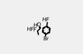 CCC=O.Cc1ccc(Br)cc1.F.F.F